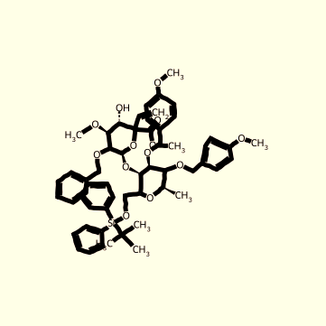 C=CC1(C(=O)OC)O[C@@H](O[C@@H]2C(CO[Si](c3ccccc3)(c3ccccc3)C(C)(C)C)O[C@H](C)C(OCc3ccc(OC)cc3)[C@@H]2OCc2ccc(OC)cc2)C(OCc2ccccc2)[C@@H](OC)[C@@H]1O